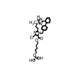 CCCCc1nc(Cl)c(C(=O)OCCCCCON(O)O)n1Cc1ccc(-c2ccccc2-c2nn[nH]n2)cc1